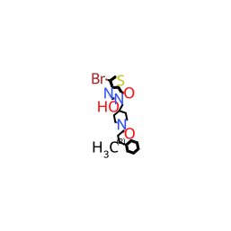 C[C@H](CC(=O)N1CCC(O)(Cn2cnc3c(Br)csc3c2=O)CC1)c1ccccc1